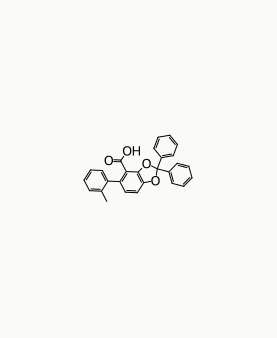 Cc1ccccc1-c1ccc2c(c1C(=O)O)OC(c1ccccc1)(c1ccccc1)O2